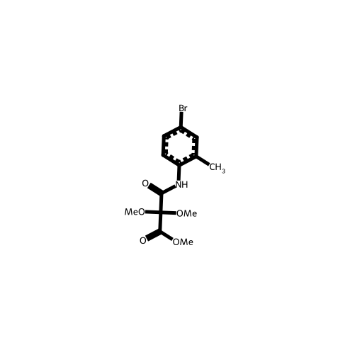 COC(=O)C(OC)(OC)C(=O)Nc1ccc(Br)cc1C